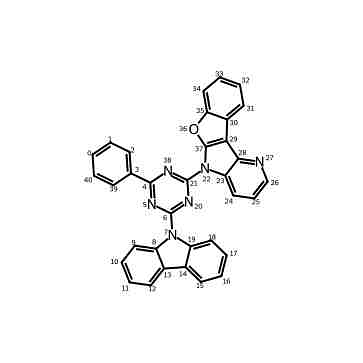 c1ccc(-c2nc(-n3c4ccccc4c4ccccc43)nc(-n3c4cccnc4c4c5ccccc5oc43)n2)cc1